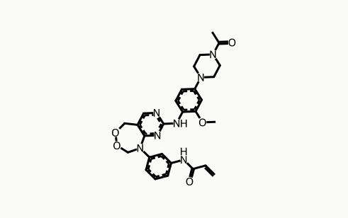 C=CC(=O)Nc1cccc(N2COOCc3cnc(Nc4ccc(N5CCN(C(C)=O)CC5)cc4OC)nc32)c1